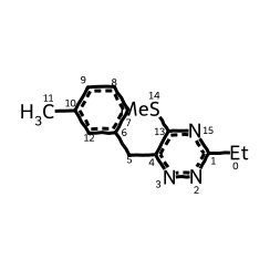 CCc1nnc(Cc2cccc(C)c2)c(SC)n1